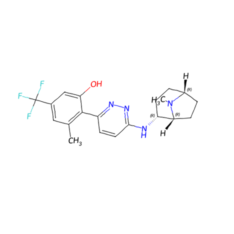 Cc1cc(C(F)(F)F)cc(O)c1-c1ccc(N[C@@H]2CC[C@@H]3CC[C@H]2N3C)nn1